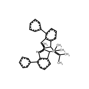 CC1=Cc2c(-c3ccccc3)cccc2[CH]1[Zr]([CH3])([CH3])(=[C](C)C)[CH]1C(C)=Cc2c(-c3ccccc3)cccc21